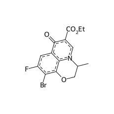 CCOC(=O)c1cn2c3c(c(Br)c(F)cc3c1=O)OCC2C